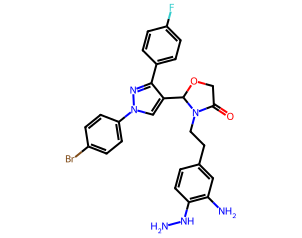 NNc1ccc(CCN2C(=O)COC2c2cn(-c3ccc(Br)cc3)nc2-c2ccc(F)cc2)cc1N